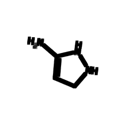 NC1=CCNN1